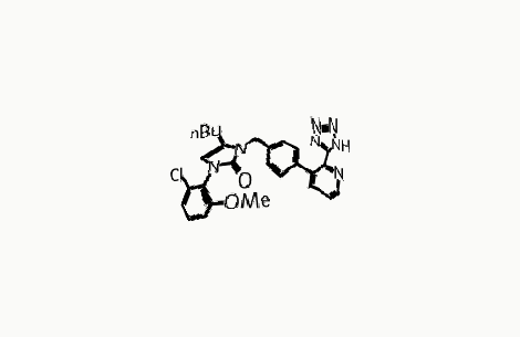 CCCCc1cn(-c2c(Cl)cccc2OC)c(=O)n1Cc1ccc(-c2cccnc2-c2nnn[nH]2)cc1